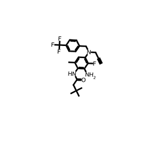 C#CCN(Cc1ccc(C(F)(F)F)cc1)c1cc(C)c(NC(=O)CC(C)(C)C)c(N)c1F